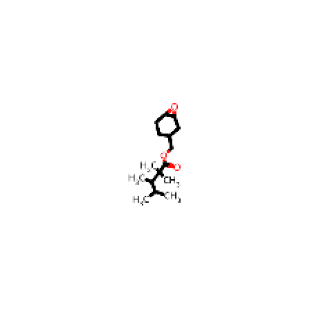 CC(C)C(C)C(C)(C)C(=O)OCC1CCC2OC2C1